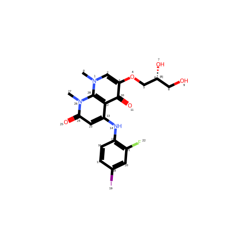 Cn1cc(OC[C@H](O)CO)c(=O)c2c(Nc3ccc(I)cc3F)cc(=O)n(C)c21